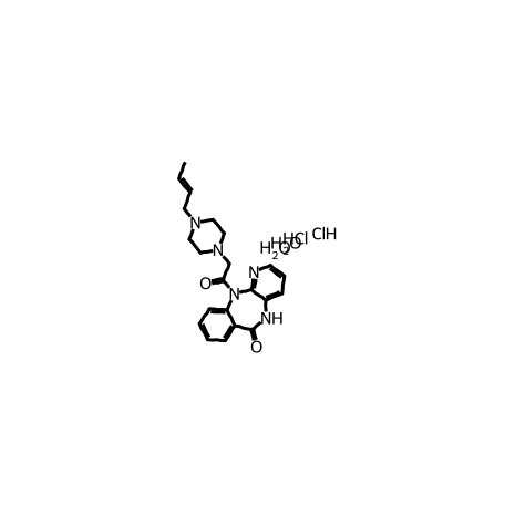 CC=CCN1CCN(CC(=O)N2c3ccccc3C(=O)Nc3cccnc32)CC1.Cl.Cl.O.O